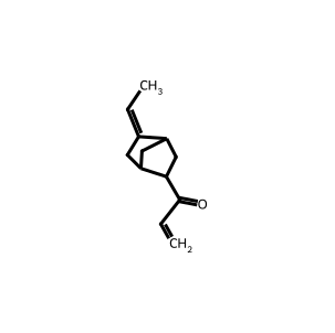 C=CC(=O)C1CC2CC1CC2=CC